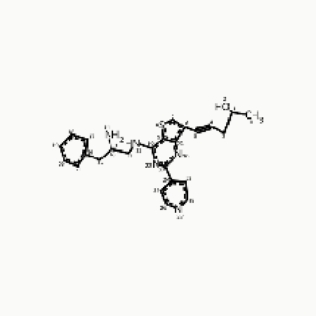 CC(O)CC#Cc1csc2c(NC[C@H](N)Cc3ccccc3)nc(-c3ccncc3)nc12